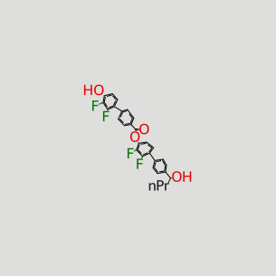 CCCC(O)c1ccc(-c2ccc(OC(=O)c3ccc(-c4ccc(O)c(F)c4F)cc3)c(F)c2F)cc1